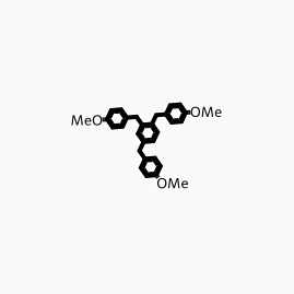 COc1ccc(Cc2ccc(Cc3ccc(OC)cc3)c(Cc3ccc(OC)cc3)c2)cc1